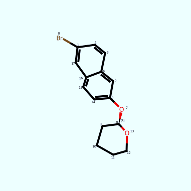 Brc1ccc2cc(O[C@@H]3CCCCO3)ccc2c1